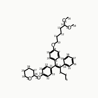 CCC/C(=C(/c1ccc(OCCCCC(OC)OC)cc1)c1ccc(OC2CCCCO2)cc1)c1ccccc1